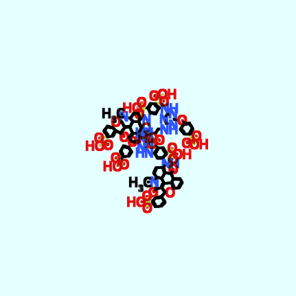 CN1C(=O)C(C(=O)c2cccc(S(=O)(=O)O)c2)=C2c3ccccc3C(=O)C3=C(Nc4cc(Nc5nc(NCCNc6nc(Nc7cc(NC8=C9C(=O)c%10ccccc%10C%10=C(C(=O)c%11cccc(S(=O)(=O)O)c%11)C(=O)N(C)C(C=C8)C9%10)c(S(=O)(=O)O)cc7S(=O)(=O)O)nc(Oc7ccc(S(=O)(=O)O)cc7)n6)nc(Oc6ccc(S(=O)(=O)O)cc6)n5)c(S(=O)(=O)O)cc4S(=O)(=O)O)C=CC1C32